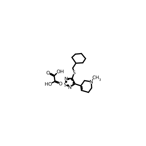 CN1CCC=C(c2nsnc2SCC2CCCCC2)C1.O=C(O)C(=O)O